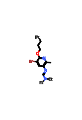 CCN(/C=N/c1cc(Br)c(OCCCC(C)C)nc1C)CC